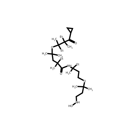 CCC(C)(CCOC(C)(C)CCNO)NC(=O)C(C)(CC)CC(C)(C)OC(C)(CC)C(C)(CC)C(=O)C1CC1